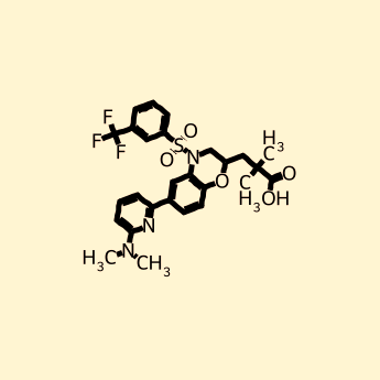 CN(C)c1cccc(-c2ccc3c(c2)N(S(=O)(=O)c2cccc(C(F)(F)F)c2)CC(CC(C)(C)C(=O)O)O3)n1